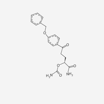 NC(=O)O[C@@H](CCC(=O)c1ccc(OCc2ccccc2)cc1)C(N)=O